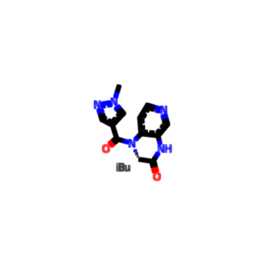 CC[C@H](C)[C@H]1C(=O)Nc2cnccc2N1C(=O)c1cnn(C)c1